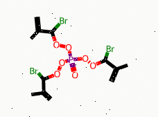 C=C(C)C(Br)OOP(=O)(OOC(Br)C(=C)C)OOC(Br)C(=C)C